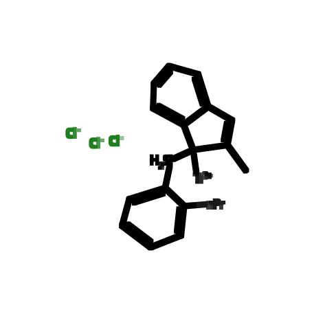 CCCc1ccccc1[SiH2][C]1([Ti+3])C(C)=Cc2ccccc21.[Cl-].[Cl-].[Cl-]